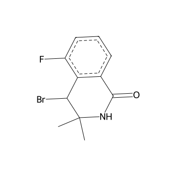 CC1(C)NC(=O)c2cccc(F)c2C1Br